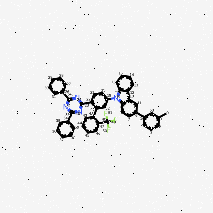 Cc1cccc(-c2ccc3c(c2)c2ccccc2n3-c2ccc(-c3nc(-c4ccccc4)nc(-c4ccccc4)n3)c(-c3ccccc3C(F)(F)F)c2)c1